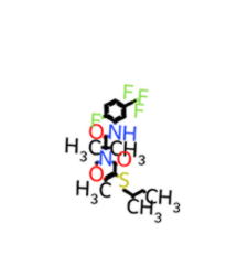 CCC(C)CSC1=C(C)OCN(C(C)(C)C(=O)Nc2cc(C(F)(F)F)ccc2F)C1=O